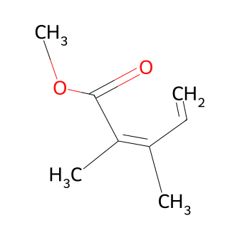 C=CC(C)=C(C)C(=O)OC